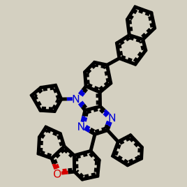 c1ccc(-c2nc3c4cc(-c5ccc6ccccc6c5)ccc4n(-c4ccccc4)c3nc2-c2cccc3oc4ccccc4c23)cc1